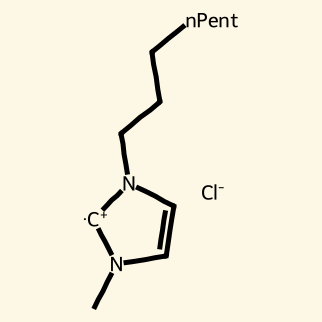 CCCCCCCCN1[C+]N(C)C=C1.[Cl-]